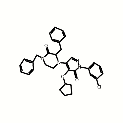 O=C1C(Cc2ccccc2)N(c2cnn(-c3cccc(Cl)c3)c(=O)c2OC2CCCC2)CCN1Cc1ccccc1